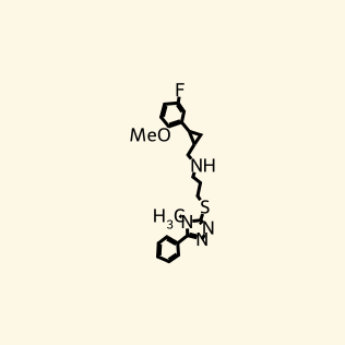 COc1ccc(F)cc1C1CC1CNCCCSc1nnc(-c2ccccc2)n1C